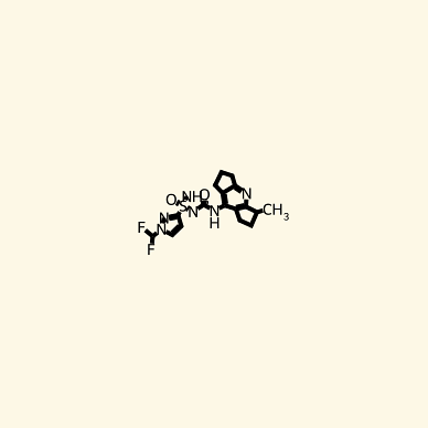 CC1CCc2c1nc1c(c2NC(=O)N=S(N)(=O)c2ccn(C(F)F)n2)CCC1